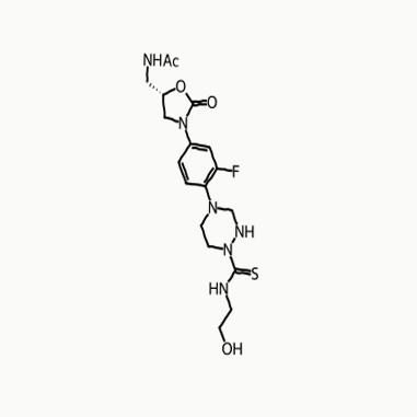 CC(=O)NC[C@H]1CN(c2ccc(N3CCN(C(=S)NCCO)NC3)c(F)c2)C(=O)O1